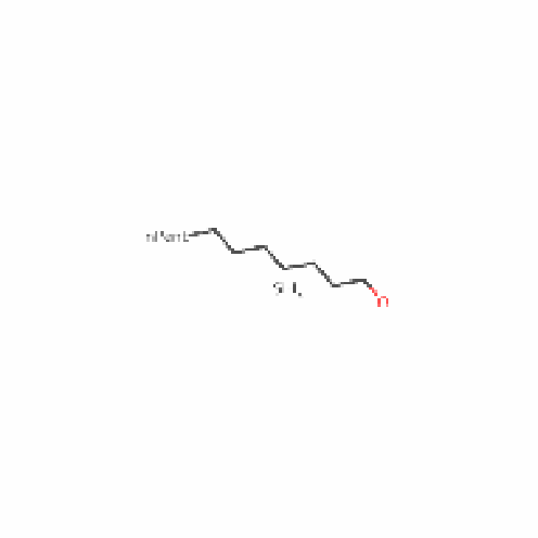 CCCCCCCCCCCC[O].[SiH4]